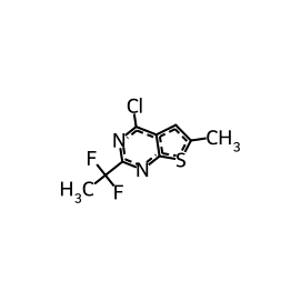 Cc1cc2c(Cl)nc(C(C)(F)F)nc2s1